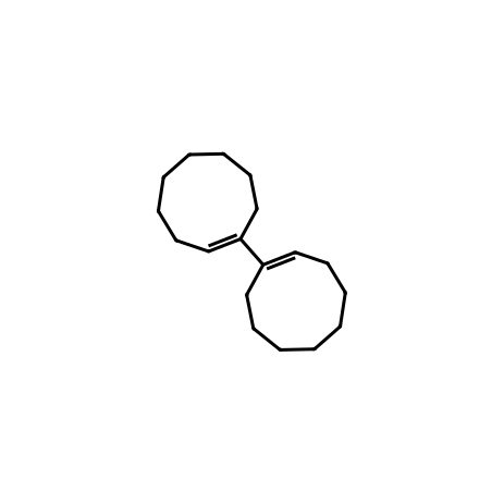 C1=C(C2=CCCCCCCC2)CCCCCCC1